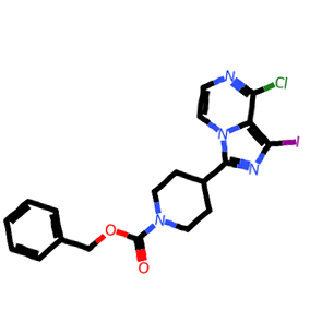 O=C(OCc1ccccc1)N1CCC(c2nc(I)c3c(Cl)nccn23)CC1